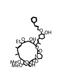 CCC1/C=C(\C)CC(C)CC(OC)C2OC(O)(C(=O)C(=O)N3CCCCC3C(=O)OC(C(C)=CC3CCC(O)C(OCC=Cc4ccccc4)C3)C(C)C(O)CC1=O)C(C)CC2OC